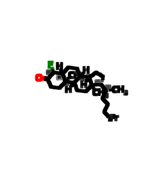 CC(C)CCC[C@@H](C)[C@H]1CC[C@H]2[C@@H]3CC[C@H]4[C@H](F)C(=O)CC[C@]4(C)[C@H]3CC[C@]12C